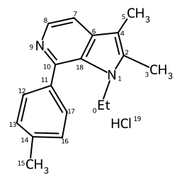 CCn1c(C)c(C)c2ccnc(-c3ccc(C)cc3)c21.Cl